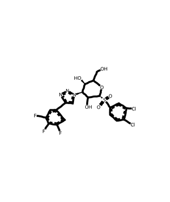 O=S(=O)(c1ccc(Cl)c(Cl)c1)[C@H]1OC(CO)[C@H](O)[C@H](n2cc(-c3cc(F)c(F)c(F)c3)nn2)C1O